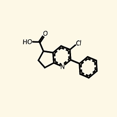 O=C(O)C1CCc2nc(-c3ccccc3)c(Cl)cc21